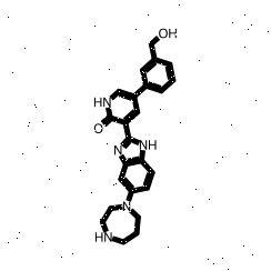 O=c1[nH]cc(-c2cccc(CO)c2)cc1-c1nc2cc(N3CCCNCC3)ccc2[nH]1